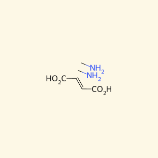 CN.CN.O=C(O)C=CC(=O)O